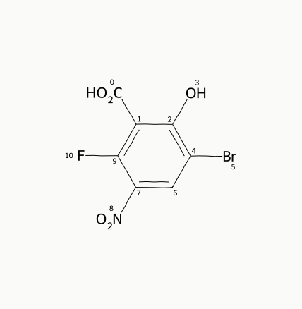 O=C(O)c1c(O)c(Br)cc([N+](=O)[O-])c1F